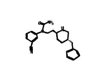 N#Cc1cccc(N(CC[C@@H]2CC[C@@H](Cc3ccccc3)CN2)C(N)=O)c1